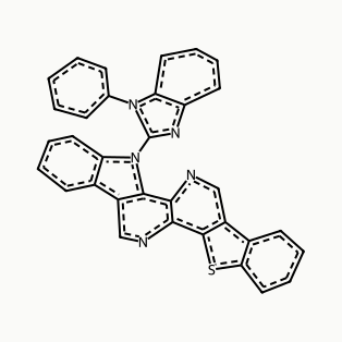 c1ccc(-n2c(-n3c4ccccc4c4cnc5c(ncc6c7ccccc7sc65)c43)nc3ccccc32)cc1